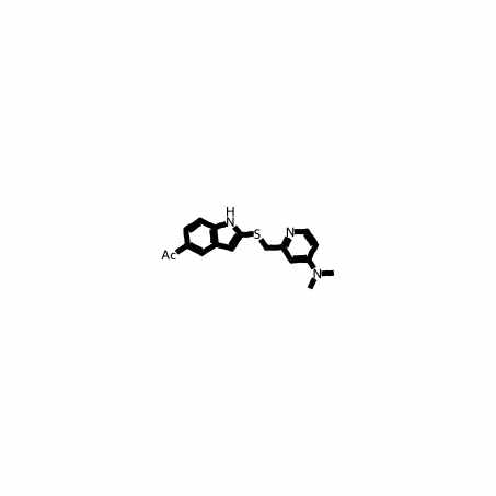 CC(=O)c1ccc2[nH]c(SCc3cc(N(C)C)ccn3)cc2c1